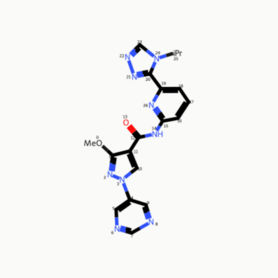 COc1nn(-c2cncnc2)cc1C(=O)Nc1cccc(-c2nncn2C(C)C)n1